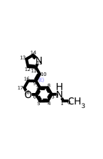 CCNc1ccc2c(c1)/C(=C/C1=CCC=N1)CCO2